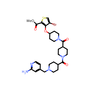 COC(=O)c1scc(Br)c1OC1CCN(C(=O)C2CCN(C(=O)C3CCN(Cc4ccnc(N)c4)CC3)CC2)CC1